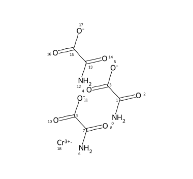 NC(=O)C(=O)[O-].NC(=O)C(=O)[O-].NC(=O)C(=O)[O-].[Cr+3]